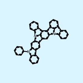 c1ccc(-n2c3ccccc3c3cc4c5cc6c(c7cccc8c9ccccc9n6c87)c6c7ccccc7n(c4cc32)c56)cc1